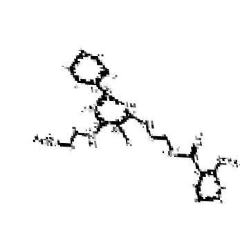 CSc1ncccc1C(=O)NCCNc1nc(-c2ccccc2)nc(NCCNC(C)=O)c1C